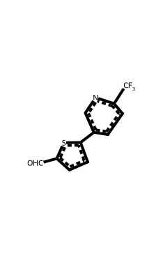 O=Cc1ccc(-c2ccc(C(F)(F)F)nc2)s1